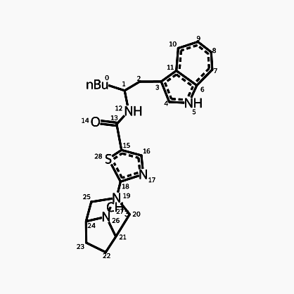 CCCCC(Cc1c[nH]c2ccccc12)NC(=O)c1cnc(N2CC3CCC(C2)N3C)s1